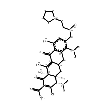 B=C1C(C(N)=O)=C(O)[C@@H](N(C)C)[C@@H]2CC3Cc4c(c(O)cc(CN(CC)CCN5CCCC5)c4N(C)C)C(=O)C3=C(O)[C@]12O